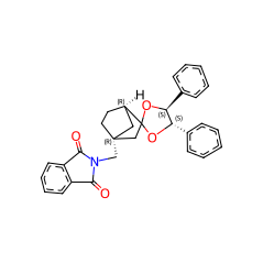 O=C1c2ccccc2C(=O)N1C[C@]12CC[C@H](C1)C1(C2)O[C@@H](c2ccccc2)[C@H](c2ccccc2)O1